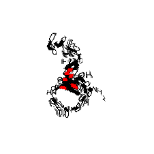 CC[C@H](C)[C@@H]1NC(=O)CNC(=O)[C@@H]2Cc3c([nH]c4cc(OCc5ccc(NC(=O)[C@H](C)NC(=O)[C@@H](NC(=O)CCN6C(=O)C=CC6=O)C(C)C)cc5)ccc34)SC[C@H](NC(=O)CNC1=O)C(=O)N[C@@H](CC(N)=O)C(=O)N1C[C@H](O)C[C@]1(C=O)N[C@@H]([C@@H](C)[C@@H](O)CO)C(=O)N2